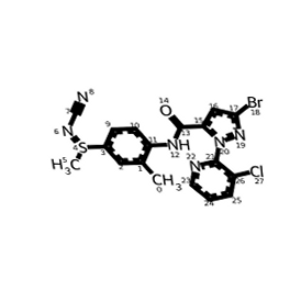 Cc1cc(/S(C)=N\C#N)ccc1NC(=O)c1cc(Br)nn1-c1ncccc1Cl